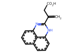 C=C(CC(=O)O)C1=Nc2cccc3cccc(c23)N1